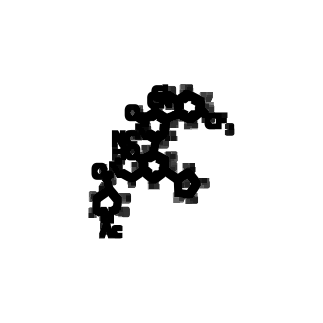 CC(=O)N1CCC(C(=O)N(C)Cc2cc(C3CCCC3)cc(-c3cc(-c4cc(C(F)(F)F)ccc4Cl)c(C#N)c(=O)n3C#N)c2O)CC1